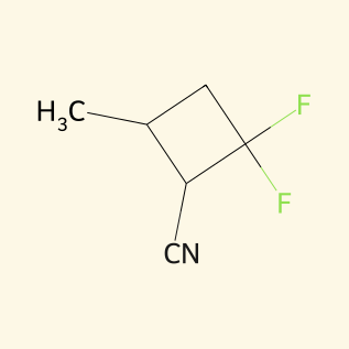 CC1CC(F)(F)C1C#N